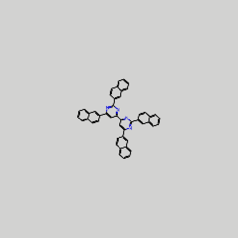 c1ccc2cc(-c3cc(-c4cc(-c5ccc6ccccc6c5)nc(-c5ccc6ccccc6c5)n4)nc(-c4ccc5ccccc5c4)n3)ccc2c1